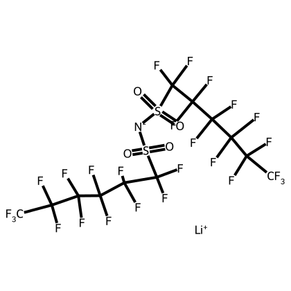 O=S(=O)([N-]S(=O)(=O)C(F)(F)C(F)(F)C(F)(F)C(F)(F)C(F)(F)C(F)(F)F)C(F)(F)C(F)(F)C(F)(F)C(F)(F)C(F)(F)C(F)(F)F.[Li+]